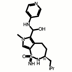 CC(C)C[C@@H]1CCc2c(cn(C)c2C(O)Nc2ccncc2)S(=N)(=O)N1